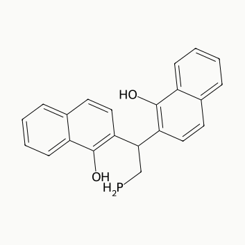 Oc1c(C(CP)c2ccc3ccccc3c2O)ccc2ccccc12